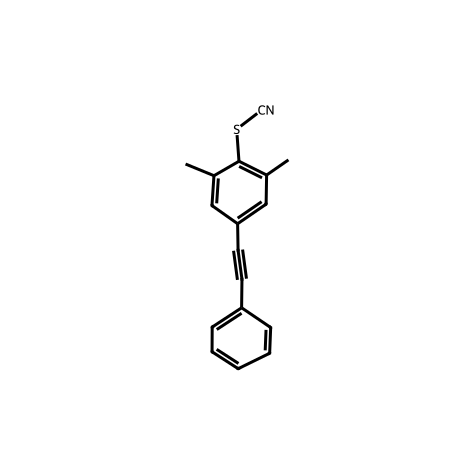 Cc1cc(C#Cc2ccccc2)cc(C)c1SC#N